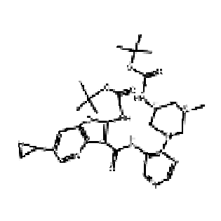 C[C@@H]1C[C@H](NC(=O)OC(C)(C)C)CN(c2ccncc2NC(=O)c2c(NC(=O)OC(C)(C)C)oc3cc(C4CC4)cnc23)C1